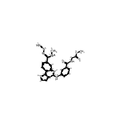 CN/C(=N\N=N)c1ccc2c(c1)nc(Nc1cccc(C(=O)NCC(=O)OC)c1)c1ccsc12